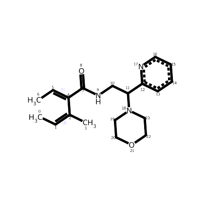 C/C=C(C)\C(=C/C)C(=O)NCC(c1ccccn1)N1CCOCC1